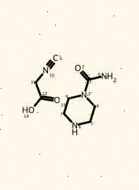 NC(=O)N1CCNCC1.[C-]#[N+]CC(=O)O